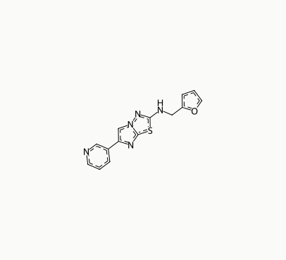 c1cncc(-c2cn3nc(NCc4ccco4)sc3n2)c1